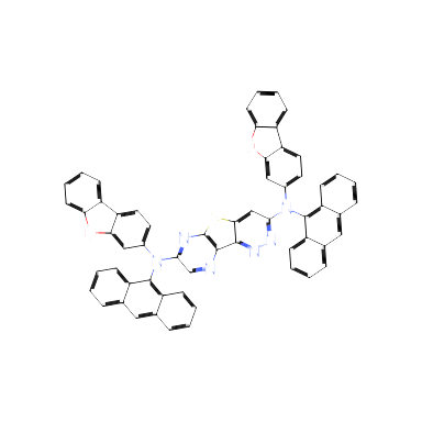 c1ccc2c(N(c3ccc4c(c3)oc3ccccc34)c3cc4sc5nc(N(c6ccc7c(c6)oc6ccccc67)c6c7ccccc7cc7ccccc67)cnc5c4nn3)c3ccccc3cc2c1